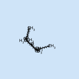 CCCCCCCCCCSC(=O)C(C)(C)CCCCCC(=O)CCCCCC(C)(C)C(=O)OCCCCCCCCC